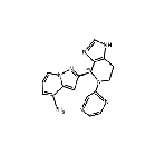 Pc1cccn2nc([C@H]3c4nc[nH]c4CCN3c3cnccn3)cc12